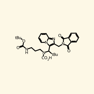 CC(C)(C)OC(=O)NCCCN(C(=O)O)C(c1c(CN2C(=O)c3ccccc3C2=O)nc2ccccn12)C(C)(C)C